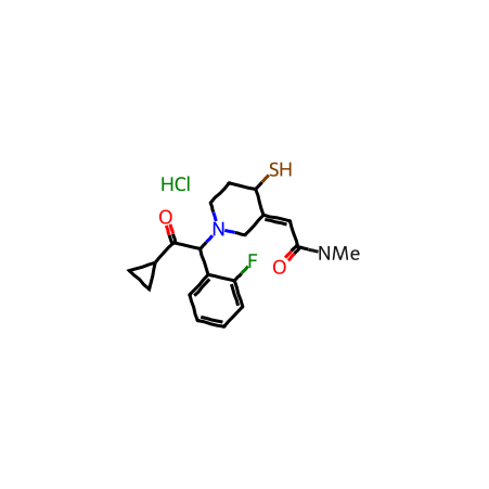 CNC(=O)C=C1CN(C(C(=O)C2CC2)c2ccccc2F)CCC1S.Cl